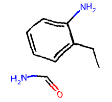 CCc1ccccc1N.NC=O